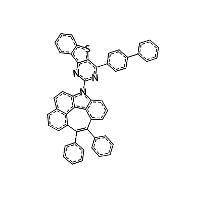 c1ccc(C2=C(c3ccccc3)c3cccc4c3c3c5c2cccc5ccc3n4-c2nc(-c3ccc(-c4ccccc4)cc3)c3sc4ccccc4c3n2)cc1